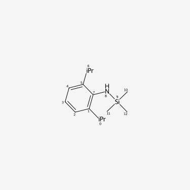 CC(C)c1cccc(C(C)C)c1N[Si](C)(C)C